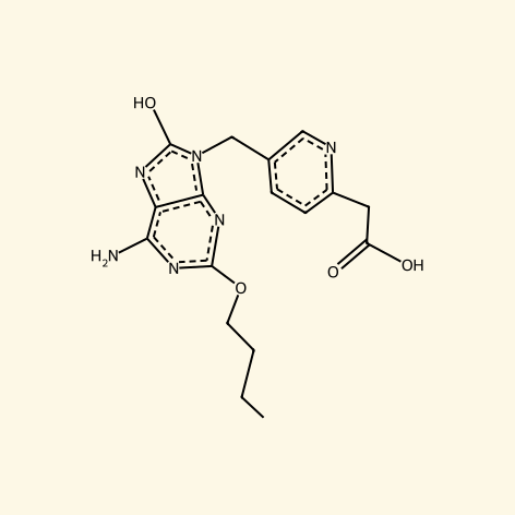 CCCCOc1nc(N)c2nc(O)n(Cc3ccc(CC(=O)O)nc3)c2n1